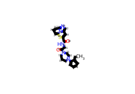 CCc1ccccc1N1CCCN(C(=O)CNC(=O)C2=Cc3cnc4cccc(n34)S2)CC1